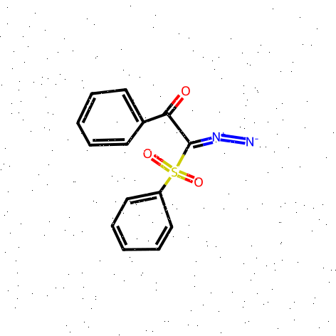 [N-]=[N+]=C(C(=O)c1ccccc1)S(=O)(=O)c1ccccc1